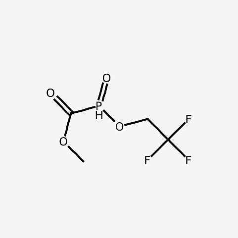 COC(=O)[PH](=O)OCC(F)(F)F